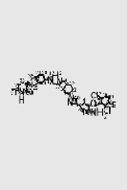 C[C@@H](Oc1cc(-c2cnn(C3CCC(CN4CCN(c5ccc6c(c5)CN(C5CCC(=O)NC5=O)C6)CC4)CC3)c2)cnc1N)c1c(Cl)ccc(F)c1Cl